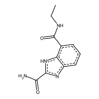 CCNC(=O)c1cccc2nc(C(N)=O)[nH]c12